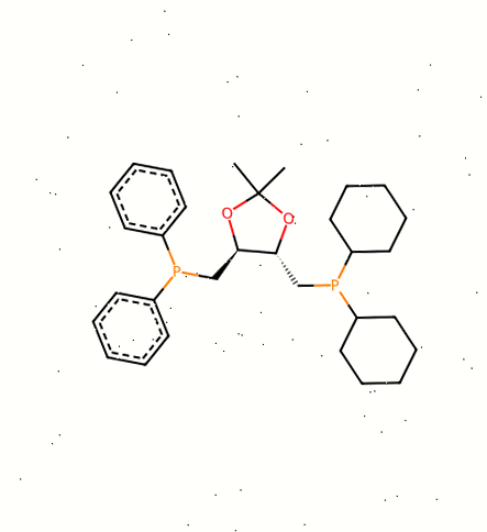 CC1(C)O[C@H](CP(c2ccccc2)c2ccccc2)[C@@H](CP(C2CCCCC2)C2CCCCC2)O1